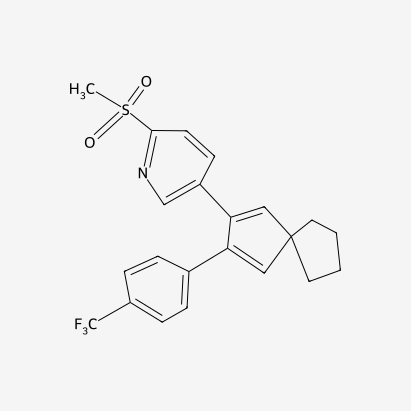 CS(=O)(=O)c1ccc(C2=CC3(C=C2c2ccc(C(F)(F)F)cc2)CCCC3)cn1